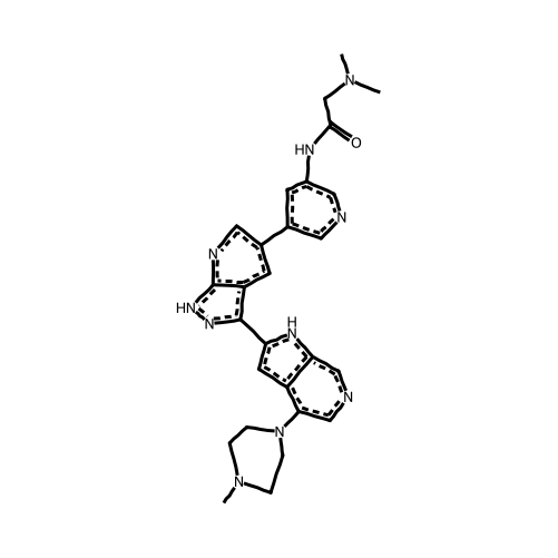 CN(C)CC(=O)Nc1cncc(-c2cnc3[nH]nc(-c4cc5c(N6CCN(C)CC6)cncc5[nH]4)c3c2)c1